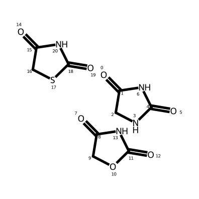 O=C1CNC(=O)N1.O=C1COC(=O)N1.O=C1CSC(=O)N1